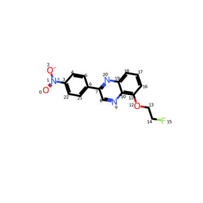 O=[N+]([O-])c1ccc(-c2cnc3c(OCCF)cccc3n2)cc1